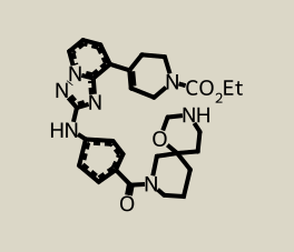 CCOC(=O)N1CC=C(c2cccn3nc(Nc4ccc(C(=O)N5CCCC6(CCNCO6)C5)cc4)nc23)CC1